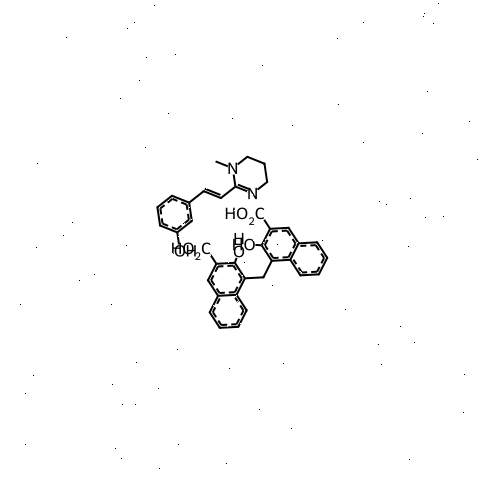 CN1CCCN=C1/C=C/c1cccc(O)c1.O=C(O)c1cc2ccccc2c(Cc2c(O)c(C(=O)O)cc3ccccc23)c1O